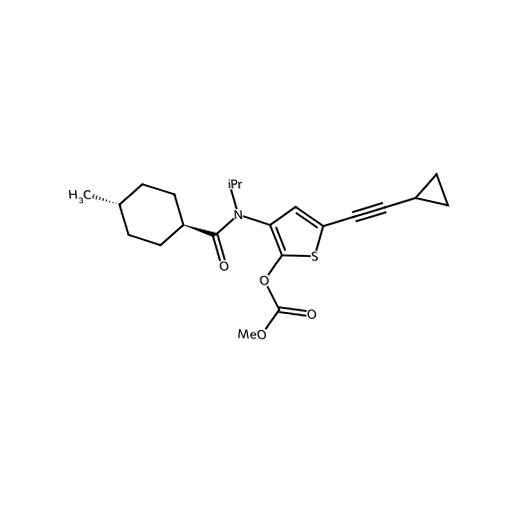 COC(=O)Oc1sc(C#CC2CC2)cc1N(C(=O)[C@H]1CC[C@H](C)CC1)C(C)C